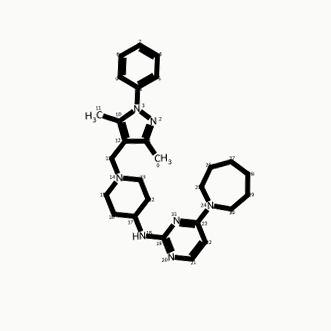 Cc1nn(-c2ccccc2)c(C)c1CN1CCC(Nc2nccc(N3CCCCCC3)n2)CC1